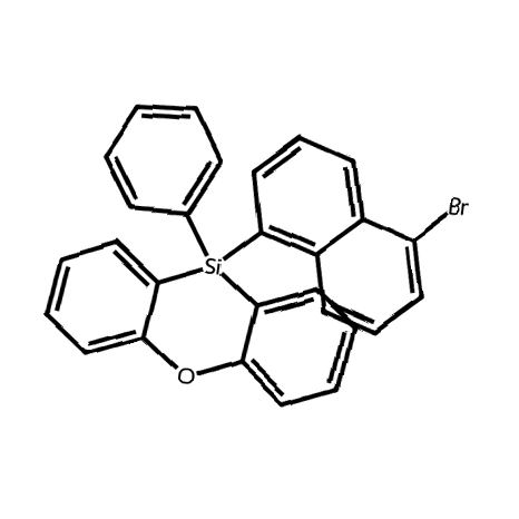 Brc1cccc2c([Si]3(c4ccccc4)c4ccccc4Oc4ccccc43)cccc12